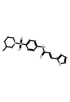 CC1CCCN(S(=O)(=O)c2ccc(NC(=O)/C=C/c3ccco3)cc2)C1